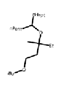 CCCCCCCC(CCCCC)OC(C)(CC)CCOC(C)CC